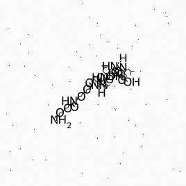 C=C(C)[C@H](NC(=O)[C@@H](NC(=O)COCCOCCNC(=O)COCCOCCN)C(C)C)C(=O)N[C@@H](CC(C)C)[C@@H](O)CC(=O)N[C@@H](C)C(=O)N[C@@H](CC(C)C)[C@@H](O)CC(=O)O